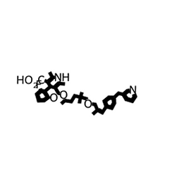 CC(=Cc1ccc(Cc2cccnc2)cc1)COCC(C)(C)CCC(C)OC(=O)C1=C(C)NC(C)=C(C(=O)O)C1c1ccccc1F